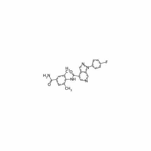 Cc1cc(C(N)=O)cc(C)c1NC(=O)c1cncc2c1cnn2-c1ccc(F)cc1